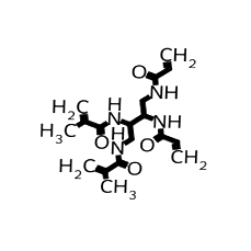 C=CC(=O)NCC(NC(=O)C=C)C(CNC(=O)C(=C)C)NC(=O)C(=C)C